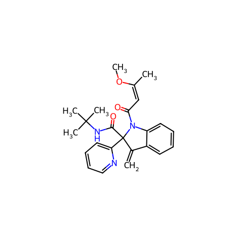 C=C1c2ccccc2N(C(=O)C=C(C)OC)C1(C(=O)NC(C)(C)C)c1ccccn1